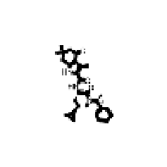 Cc1c(C(=O)N[C@@H](CCC2CC2)C(=O)N(C)[C@@H](C)c2ccccc2)[nH]c2c1C(=O)CC(C)(C)C2